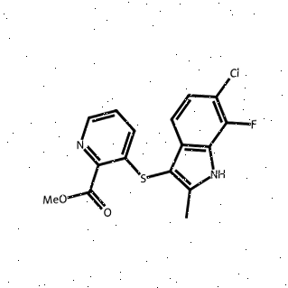 COC(=O)c1ncccc1Sc1c(C)[nH]c2c(F)c(Cl)ccc12